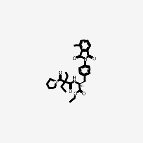 CCOC(=O)[C@H](Cc1ccc(N2C(=O)c3cccc(C)c3C2=O)cc1)NC(=O)C(CC)(CC)C(=O)N1CCCC1